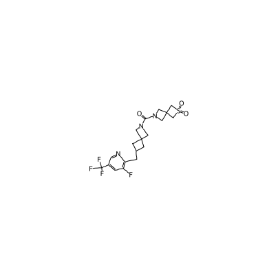 O=C(N1CC2(CC(Cc3ncc(C(F)(F)F)cc3F)C2)C1)N1CC2(C1)CS(=O)(=O)C2